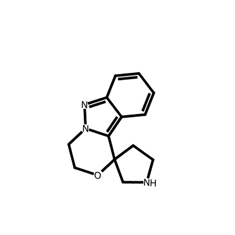 c1ccc2c3n(nc2c1)CCOC31CCNC1